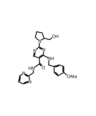 COc1ccc(CNc2nc(N3CCCC3CO)ncc2C(=O)NCc2ncccn2)cc1